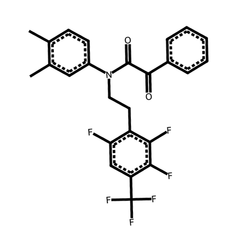 Cc1ccc(N(CCc2c(F)cc(C(F)(F)F)c(F)c2F)C(=O)C(=O)c2ccccc2)cc1C